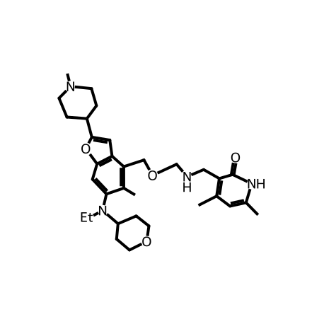 CCN(c1cc2oc(C3CCN(C)CC3)cc2c(COCNCc2c(C)cc(C)[nH]c2=O)c1C)C1CCOCC1